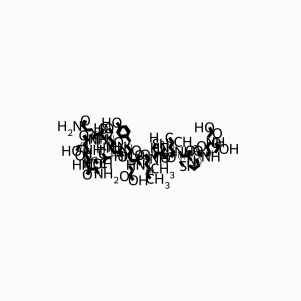 CC[C@H](C)[C@H](NC(=O)[C@H](CCC(=O)O)NC(=O)[C@H](Cc1ccc(O)cc1)NC(=O)[C@H](CC(C)C)NC(=O)[C@H](CO)NC(=O)[C@H](CCC(N)=O)NC(=O)[C@H](CO)NC(=O)[C@H](CO)NC(=O)CN)C(=O)N[C@@H](CS)C(=O)N[C@H](C(=O)N[C@@H](CS)C(=O)N1CCC[C@H]1C(=O)N[C@@H](CC(=O)O)C(=O)NCC(=O)O)C(C)C